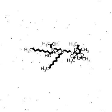 CCCCCCCCC(O)CN(CCCOC1OC(CC)C(C)C(OC(C)=O)C1OC(C)=O)CCCN(CC(C)O)CC(O)CCCCCCCC